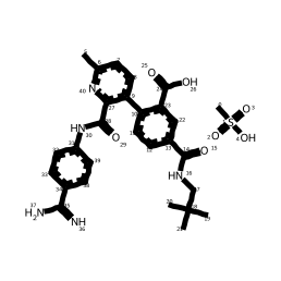 CS(=O)(=O)O.Cc1ccc(-c2ccc(C(=O)NCC(C)(C)C)cc2C(=O)O)c(C(=O)Nc2ccc(C(=N)N)cc2)n1